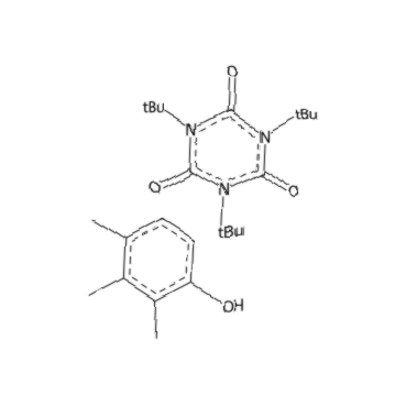 CC(C)(C)n1c(=O)n(C(C)(C)C)c(=O)n(C(C)(C)C)c1=O.Cc1ccc(O)c(C)c1C